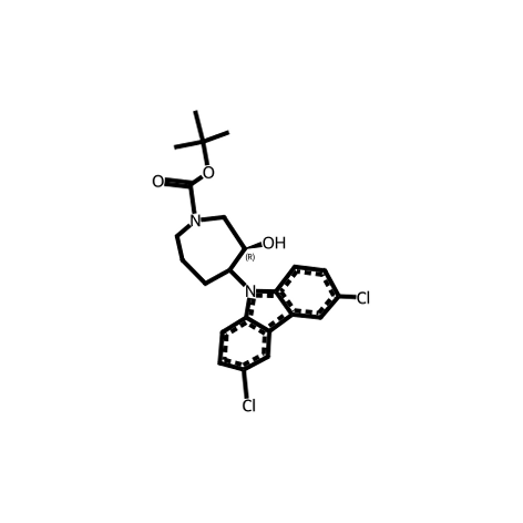 CC(C)(C)OC(=O)N1CCCC(n2c3ccc(Cl)cc3c3cc(Cl)ccc32)[C@H](O)C1